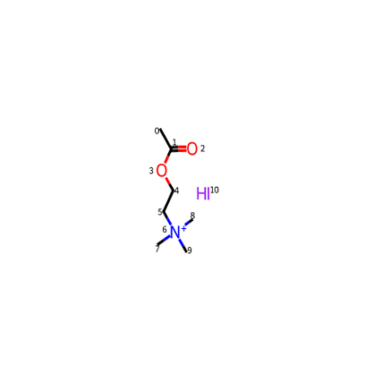 CC(=O)OCC[N+](C)(C)C.I